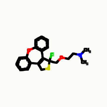 CN(C)CCOCC1(Cl)SCC2=C1c1ccccc1Oc1ccccc12